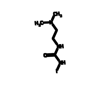 CN(C)CCNC(=O)NI